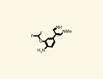 CN/C=C(\C=N)c1ccc(N)c(OC(F)F)c1